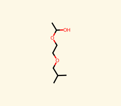 CC(C)COCCOC(C)O